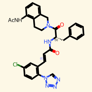 CC(=O)Nc1cccc2c1CCN(C(=O)[C@H](Cc1ccccc1)NC(=O)/C=C/c1cc(Cl)ccc1-n1cnnn1)C2